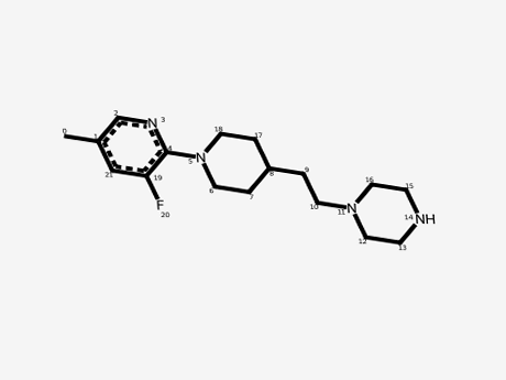 Cc1cnc(N2CCC(CCN3CCNCC3)CC2)c(F)c1